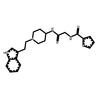 O=C(CNC(=O)c1cccs1)NC1CCN(CCc2c[nH]c3ccccc23)CC1